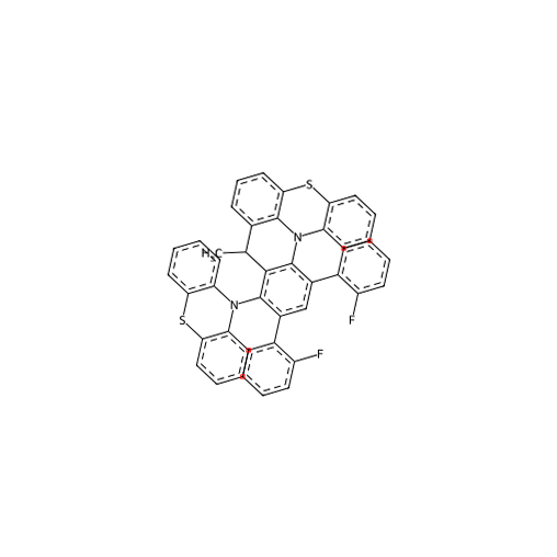 CC1c2cccc3c2N(c2ccccc2S3)c2c(-c3ccccc3F)cc(-c3ccccc3F)c(N3c4ccccc4Sc4ccccc43)c21